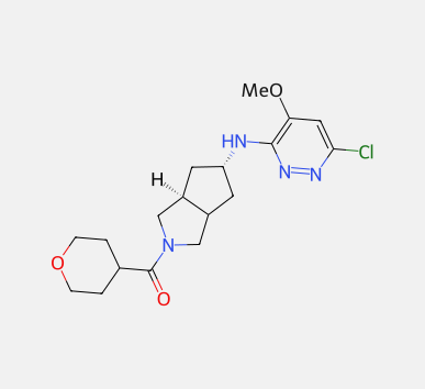 COc1cc(Cl)nnc1N[C@@H]1CC2CN(C(=O)C3CCOCC3)C[C@H]2C1